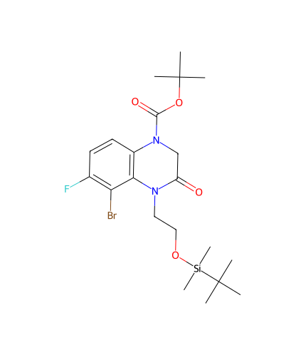 CC(C)(C)OC(=O)N1CC(=O)N(CCO[Si](C)(C)C(C)(C)C)c2c1ccc(F)c2Br